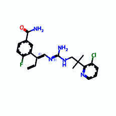 C=C/C(=C\N=C(/N)NCC(C)(C)c1ncccc1Cl)c1cc(C(N)=O)ccc1F